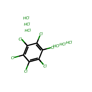 Cl.Cl.Cl.Cl.Cl.Cl.Clc1c(Cl)c(Cl)c(Cl)c(Cl)c1Cl